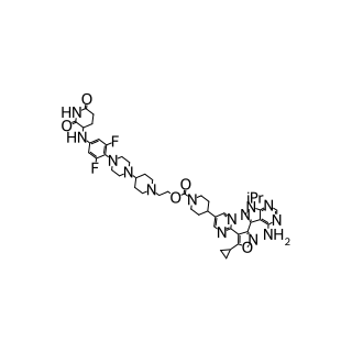 CC(C)n1nc(-c2noc(C3CC3)c2-c2ncc(C3CCN(C(=O)OCCN4CCC(N5CCN(c6c(F)cc(NC7CCC(=O)NC7=O)cc6F)CC5)CC4)CC3)cn2)c2c(N)ncnc21